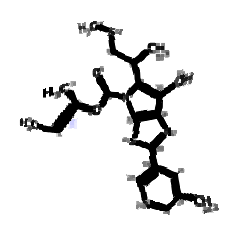 C/C=C(\C)OC(=O)n1c(C(C)CSC)c(O)c2nc(-c3cncc(C)c3)sc21